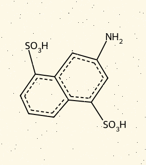 Nc1[c]c2c(S(=O)(=O)O)cccc2c(S(=O)(=O)O)c1